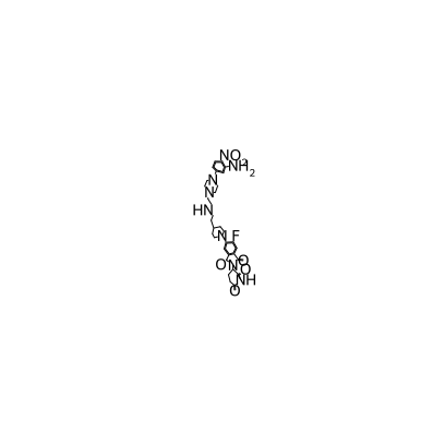 Nc1cc(N2CCN(CCNCCC3CCN(c4cc5c(cc4F)C(=O)N(C4CCC(=O)NC4=O)C5=O)CC3)CC2)ccc1[N+](=O)[O-]